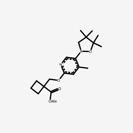 COC(=O)C1(COc2cc(C)c(B3CC(C)(C)C(C)(C)O3)cn2)CCC1